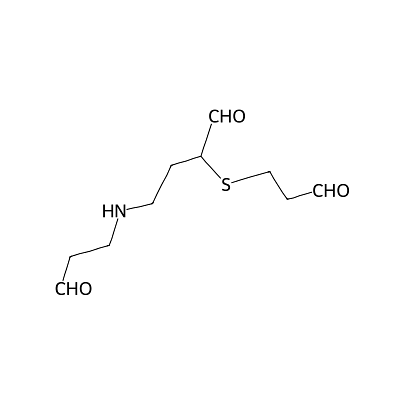 O=CCCNCCC(C=O)SCCC=O